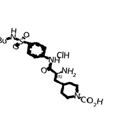 CC(C)(C)NS(=O)(=O)c1ccc(NC(=O)[C@@H](N)CC2CCN(C(=O)O)CC2)cc1.Cl